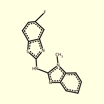 Cn1c(Nc2nc3cc(F)ccc3s2)nc2ccccc21